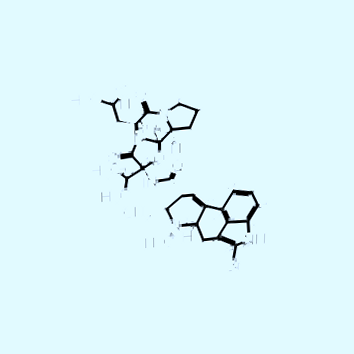 C.CC(C)C[C@H]1C(=O)N2CCC[C@H]2[C@]2(O)O[C@](NC(=O)[C@@H]3C=C4c5cccc6[nH]c(Br)c(c56)C[C@H]4N(C)C3)(C(C)C)C(=O)N12